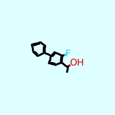 CC(O)c1ccc(-c2ccccc2)cc1F